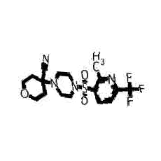 Cc1nc(C(F)(F)F)ccc1S(=O)(=O)N1CCN(C2(C#N)CCOCC2)CC1